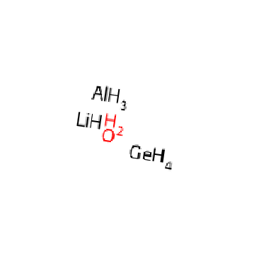 O.[AlH3].[GeH4].[LiH]